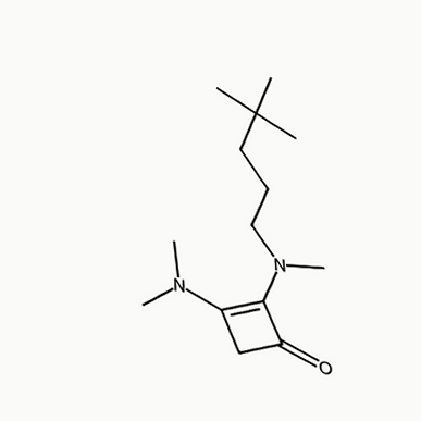 CN(C)C1=C(N(C)CCCC(C)(C)C)C(=O)C1